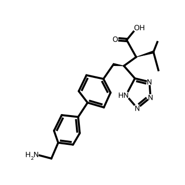 CC(C)[C@H](C(=O)O)[C@H](Cc1ccc(-c2ccc(CN)cc2)cc1)c1nnn[nH]1